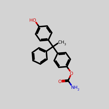 CC(c1ccccc1)(c1ccc(O)cc1)c1ccc(OC(N)=O)cc1